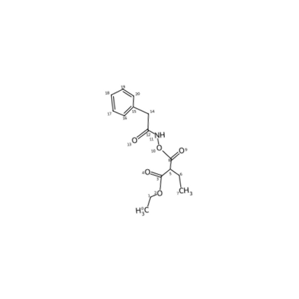 CCOC(=O)C(CC)C(=O)ONC(=O)Cc1ccccc1